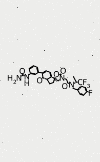 CC(N(Cc1ccc(F)cc1)C(=O)CN1C[C@]2(CCC3C(=O)C(c4cccc(NC(N)=O)c4)=CC=C32)OC1=O)C(F)(F)F